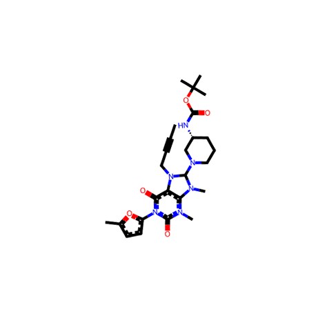 CC#CCN1c2c(n(C)c(=O)n(-c3ccc(C)o3)c2=O)N(C)C1N1CCC[C@@H](NC(=O)OC(C)(C)C)C1